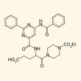 CCOC(=O)N1CCN(C(=O)C(CCC(=O)O)NC(=O)c2cc(NC(=O)c3ccccc3)nc(-c3ccccc3)n2)CC1